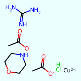 C1COCCN1.CC(=O)[O-].CC(=O)[O-].Cl.N=C(N)N.[Cu+2]